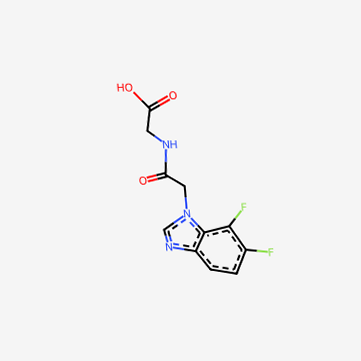 O=C(O)CNC(=O)Cn1cnc2ccc(F)c(F)c21